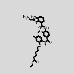 CCOC(=O)CCCCCOc1cc(C)ccc1N(C)C(=O)c1ccc(NC(=O)c2cccc3[nH]c(CN)nc23)c(OC)c1